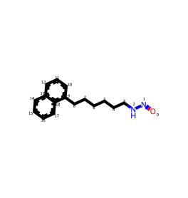 O=NNCCCCCCc1cccc2ccccc12